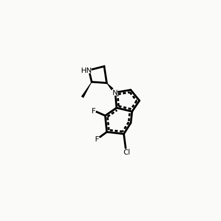 C[C@H]1NC[C@H]1n1ccc2cc(Cl)c(F)c(F)c21